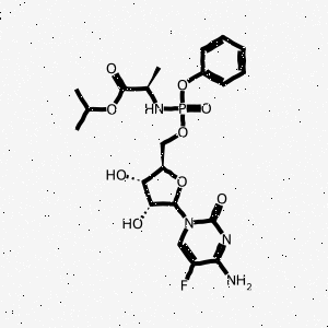 CC(C)OC(=O)[C@@H](C)NP(=O)(OC[C@H]1OC(n2cc(F)c(N)nc2=O)[C@H](O)[C@@H]1O)Oc1ccccc1